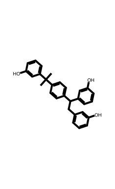 CC(C)(c1ccc(C(Cc2cccc(O)c2)c2cccc(O)c2)cc1)c1cccc(O)c1